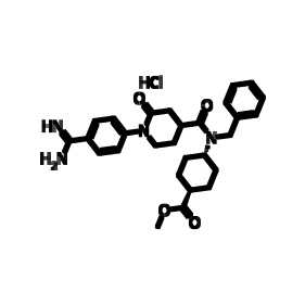 COC(=O)[C@H]1CC[C@H](N(Cc2ccccc2)C(=O)C2CCN(c3ccc(C(=N)N)cc3)C(=O)C2)CC1.Cl